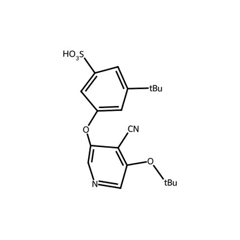 CC(C)(C)Oc1cncc(Oc2cc(C(C)(C)C)cc(S(=O)(=O)O)c2)c1C#N